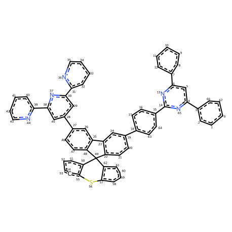 c1ccc(-c2cc(-c3ccccc3)nc(-c3ccc(-c4ccc5c(c4)-c4cc(-c6cc(-c7ccccn7)nc(-c7ccccn7)c6)ccc4C54c5ccccc5Sc5ccccc54)cc3)n2)cc1